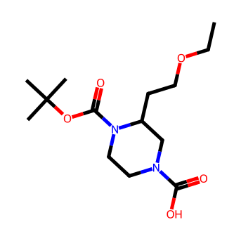 CCOCCC1CN(C(=O)O)CCN1C(=O)OC(C)(C)C